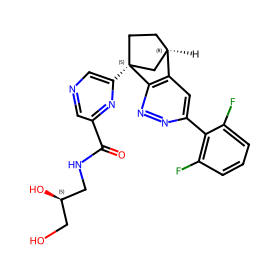 O=C(NC[C@H](O)CO)c1cncc([C@]23CC[C@H](C2)c2cc(-c4c(F)cccc4F)nnc23)n1